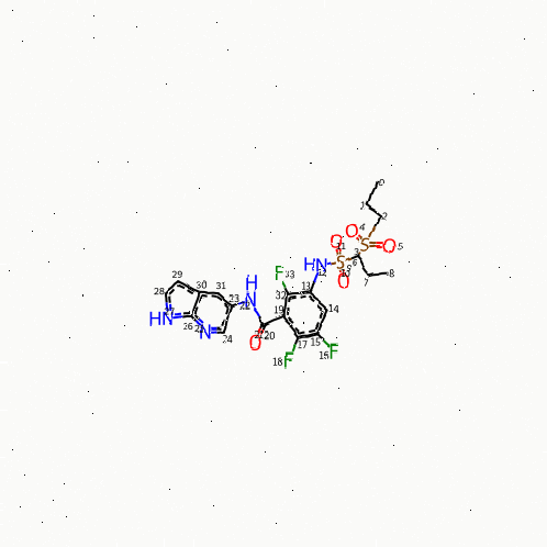 CCCS(=O)(=O)C(CC)S(=O)(=O)Nc1cc(F)c(F)c(C(=O)Nc2cnc3[nH]ccc3c2)c1F